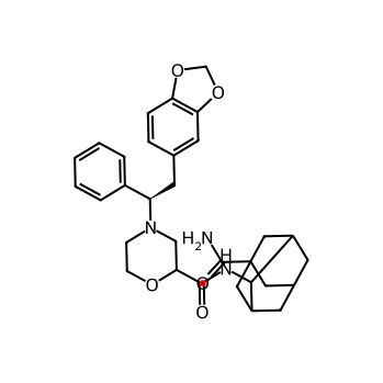 NC(=O)C12CC3CC(C1)C(NC(=O)C1CN([C@H](Cc4ccc5c(c4)OCO5)c4ccccc4)CCO1)C(C3)C2